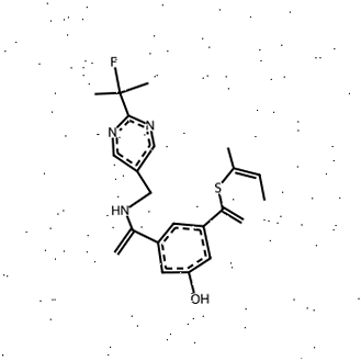 C=C(NCc1cnc(C(C)(C)F)nc1)c1cc(O)cc(C(=C)S/C(C)=C\C)c1